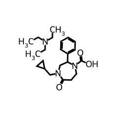 CCN(CC)CC.O=C1CCN(C(=O)O)C(c2ccccc2)CN1CC1CC1